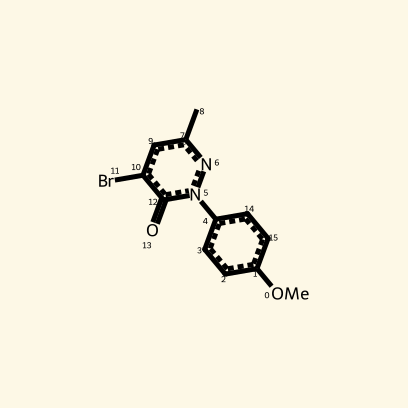 COc1ccc(-n2nc(C)cc(Br)c2=O)cc1